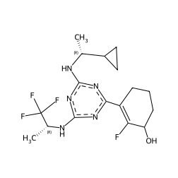 C[C@@H](Nc1nc(N[C@H](C)C(F)(F)F)nc(C2=C(F)C(O)CCC2)n1)C1CC1